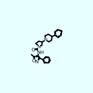 Cc1onc(-c2ccccc2)c1NC(=O)N1CCC(N2CCC(c3ccccc3)CC2)C1